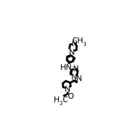 C=CC(=O)N1CCCC(c2cnc3cnc(Nc4ccc(N5CCN(C)CC5)cc4)cn23)C1